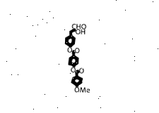 COc1ccc(C(=O)Oc2ccc(C(=O)Oc3ccc(CC(O)C=O)cc3)cc2)cc1